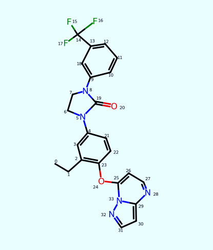 CCc1cc(N2CCN(c3cccc(C(F)(F)F)c3)C2=O)ccc1Oc1ccnc2ccnn12